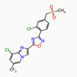 CS(=O)(=O)Cc1ccc(-c2noc(-c3cn4cc(C(F)(F)F)cc(Cl)c4n3)n2)c(Cl)c1